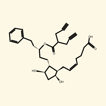 C#CCC(CC#C)C(=O)O[C@@H](CCc1ccccc1)CC[C@@H]1[C@@H](C/C=C\CCCC(=O)O)[C@@H](O)C[C@H]1O